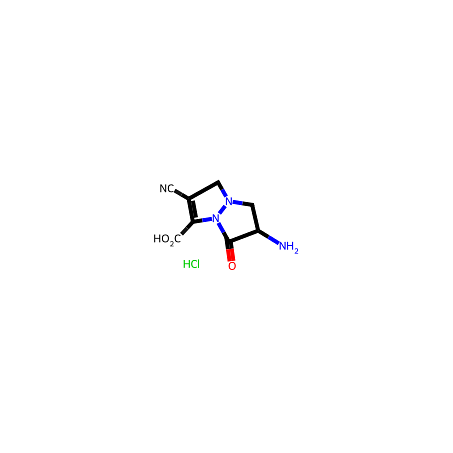 Cl.N#CC1=C(C(=O)O)N2C(=O)C(N)CN2C1